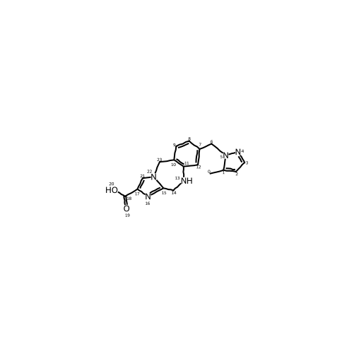 Cc1ccnn1Cc1ccc2c(c1)NCc1nc(C(=O)O)cn1C2